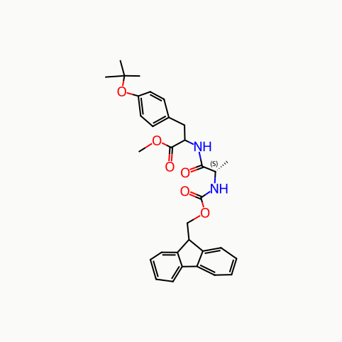 COC(=O)C(Cc1ccc(OC(C)(C)C)cc1)NC(=O)[C@H](C)NC(=O)OCC1c2ccccc2-c2ccccc21